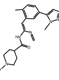 C=N/C(=C\c1cc(-c2cnnn2C)ccc1C)NC(=O)C1CCN(C(C)C)CC1